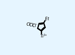 CCC1=CC[C]([Ti+3])=C1.[Cl-].[Cl-].[Cl-]